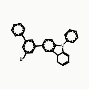 Brc1cc(-c2ccccc2)cc(-c2ccc3c(c2)C2CC=CC=C2N3c2ccccc2)c1